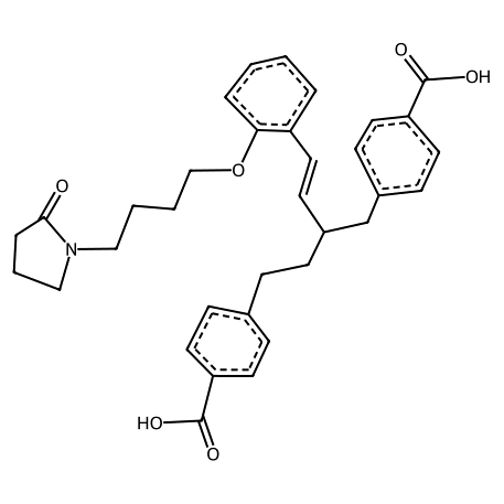 O=C(O)c1ccc(CCC(C=Cc2ccccc2OCCCCN2CCCC2=O)Cc2ccc(C(=O)O)cc2)cc1